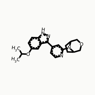 CC(C)Oc1ccc2[nH]nc(-c3ccnc(N4C5CCC4COC5)c3)c2c1